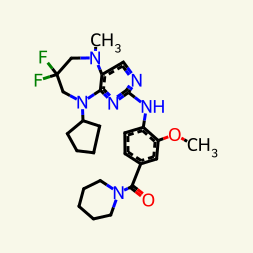 COc1cc(C(=O)N2CCCCC2)ccc1Nc1ncc2c(n1)N(C1CCCC1)CC(F)(F)CN2C